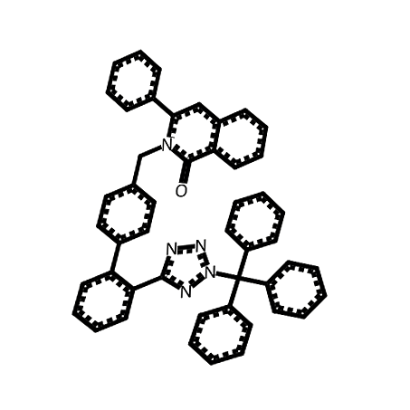 O=c1c2ccccc2cc(-c2ccccc2)n1Cc1ccc(-c2ccccc2-c2nnn(C(c3ccccc3)(c3ccccc3)c3ccccc3)n2)cc1